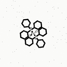 [Cl][Pd-2]([Cl])([PH](C1CCCCC1)(C1CCCCC1)C1CCCCC1)[PH](C1CCCCC1)(C1CCCCC1)C1CCCCC1